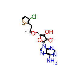 CO[C@@H]1[C@H](O)[C@@H](CO[C@H](C)Cc2sccc2Cl)O[C@H]1n1cnc2c(N)ncnc21